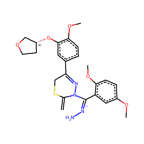 C=C1SCC(c2ccc(OC)c(O[C@@H]3CCOC3)c2)=NN1/C(=N\N)c1cc(OC)ccc1OC